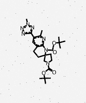 Cc1nc2c(cc1-c1nnn(C)n1)CCC1(CCN(C(=O)OC(C)(C)C)C1)N2C(=O)OC(C)(C)C